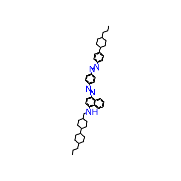 CCCC1CCC(c2ccc(N=Nc3ccc(N=Nc4ccc(NCC5CCC(C6CCC(CCC)CC6)CC5)c5ccccc45)cc3)cc2)CC1